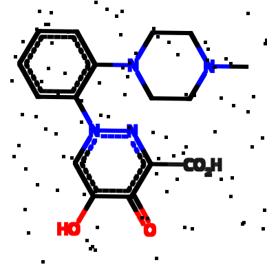 CN1CCN(c2ccccc2-n2cc(O)c(=O)c(C(=O)O)n2)CC1